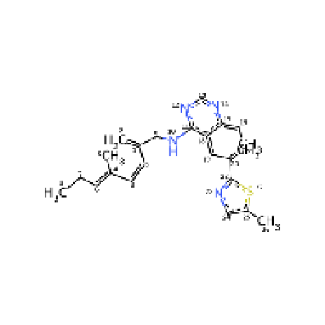 C=C(/C=C\C(C)=C\CC)CNc1ncnc(=C/C)/c1=C\C(=C)c1ncc(C)s1